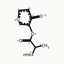 CCCCCCC(C)C(=O)Oc1coccc1=O